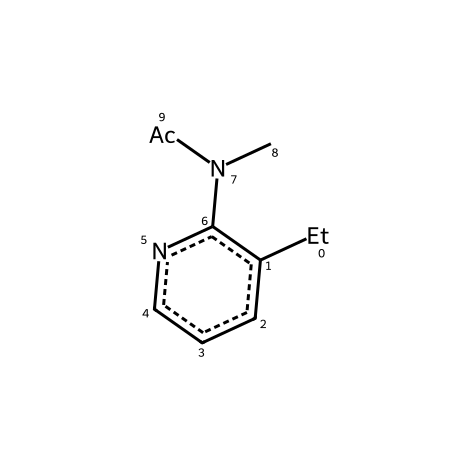 CCc1cccnc1N(C)C(C)=O